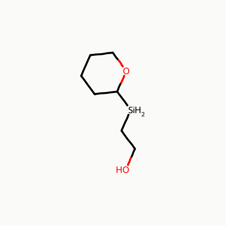 OCC[SiH2]C1CCCCO1